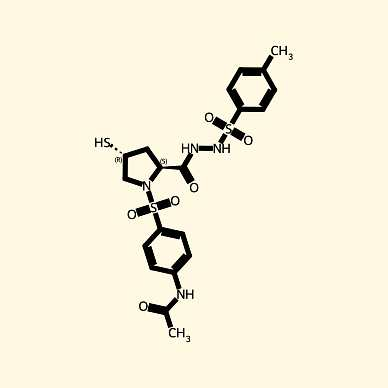 CC(=O)Nc1ccc(S(=O)(=O)N2C[C@H](S)C[C@H]2C(=O)NNS(=O)(=O)c2ccc(C)cc2)cc1